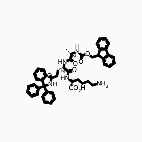 C[C@H](NC(=O)OCC1c2ccccc2-c2ccccc21)C(=O)N[C@@H](CCC(=O)NC(c1ccccc1)(c1ccccc1)c1ccccc1)C(=O)N[C@@H](CCCCN)C(=O)O